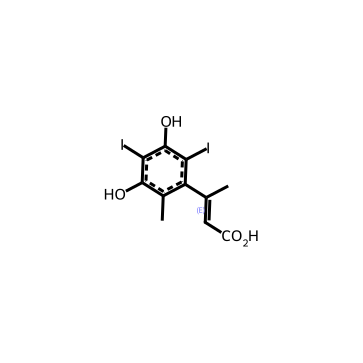 C/C(=C\C(=O)O)c1c(C)c(O)c(I)c(O)c1I